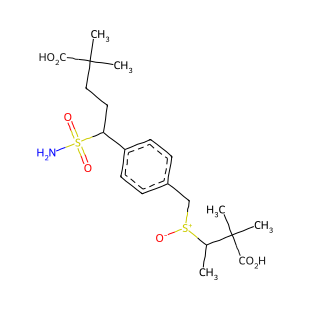 CC([S+]([O-])Cc1ccc(C(CCC(C)(C)C(=O)O)S(N)(=O)=O)cc1)C(C)(C)C(=O)O